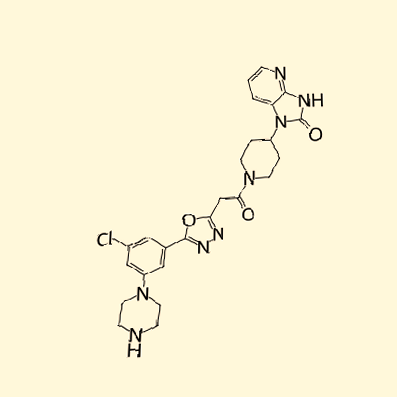 O=C(Cc1nnc(-c2cc(Cl)cc(N3CCNCC3)c2)o1)N1CCC(n2c(=O)[nH]c3ncccc32)CC1